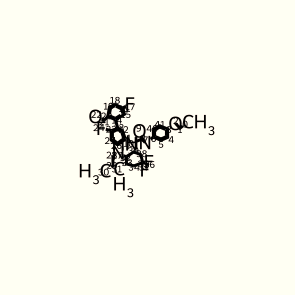 CCOc1ccc(NC(=O)Nc2cc(-c3cc(F)ccc3C=O)c(F)cc2N(CC(C)C)C2CCC(F)(F)CC2)cc1